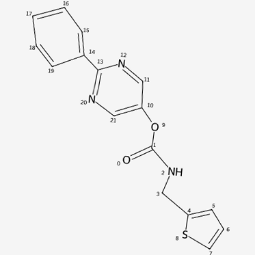 O=C(NCc1cccs1)Oc1cnc(-c2ccccc2)nc1